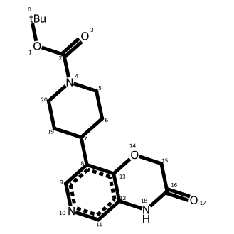 CC(C)(C)OC(=O)N1CCC(c2cncc3c2OCC(=O)N3)CC1